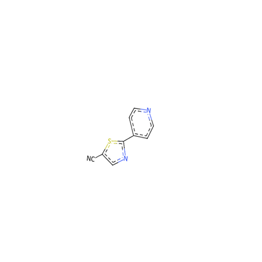 N#Cc1cnc(-c2ccncc2)s1